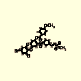 COc1ccc(COc2ccc(Oc3c(Cl)cc(Br)cc3Cl)cc2S(=O)(=O)N2CCC(/C=N/S(C)(=O)=O)C2)cc1